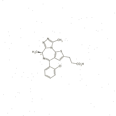 Cc1nnc2n1-c1sc(CCC(=O)O)cc1C(c1ccccc1Cl)=N[C@H]2C